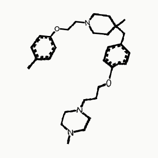 Cc1ccc(OCCN2CCC(C)(Cc3ccc(OCCCN4CCN(C)CC4)cc3)CC2)cc1